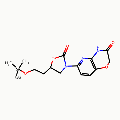 CC(C)(C)[Si](C)(C)OCCC1CN(c2ccc3c(n2)NC(=O)CO3)C(=O)O1